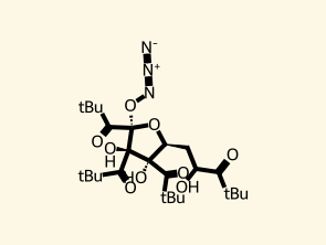 CC(C)(C)C(=O)C(O)C[C@@H]1O[C@](ON=[N+]=[N-])(C(=O)C(C)(C)C)[C@@](O)(C(=O)C(C)(C)C)[C@]1(O)C(=O)C(C)(C)C